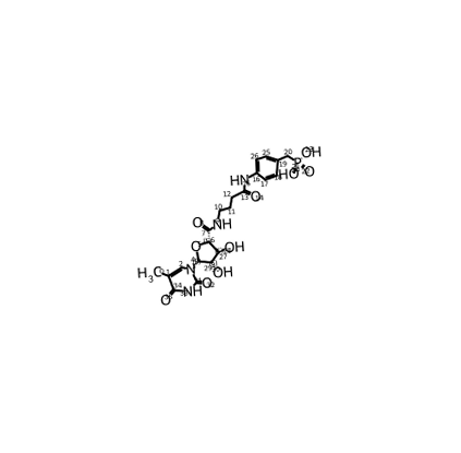 Cc1cn([C@@H]2O[C@H](C(=O)NCCCC(=O)Nc3ccc(CP(=O)(O)O)cc3)[C@@H](O)[C@@H]2O)c(=O)[nH]c1=O